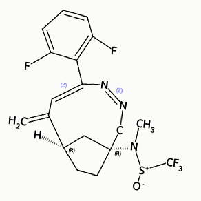 C=C1/C=C(c2c(F)cccc2F)\N=N/C[C@@]2(N(C)[S+]([O-])C(F)(F)F)CC[C@@H]1C2